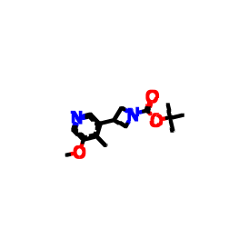 COc1cncc(C2CN(C(=O)OC(C)(C)C)C2)c1C